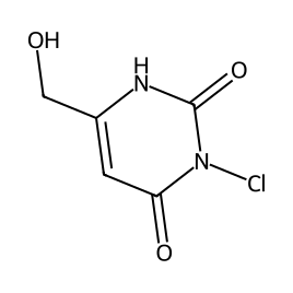 O=c1cc(CO)[nH]c(=O)n1Cl